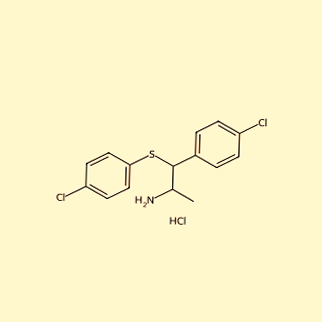 CC(N)C(Sc1ccc(Cl)cc1)c1ccc(Cl)cc1.Cl